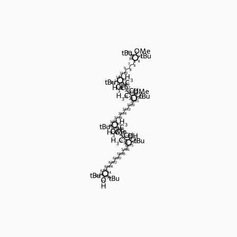 COc1c(C(C)(C)C)cc(CCCCCCc2cc(C(C)(C)C)c(O)c(C(C)(C)CCC(C)(C)c3cc(CCCCCCCCc4cc(C(C)(C)C)c(OC)c(C(C)(C)CCC(C)(C)c5cc(CCCCCCCCCCc6cc(C(C)(C)C)c(O)c(C(C)(C)C)c6)cc(C(C)(C)C)c5O)c4)cc(C(C)(C)C)c3OC)c2)cc1C(C)(C)C